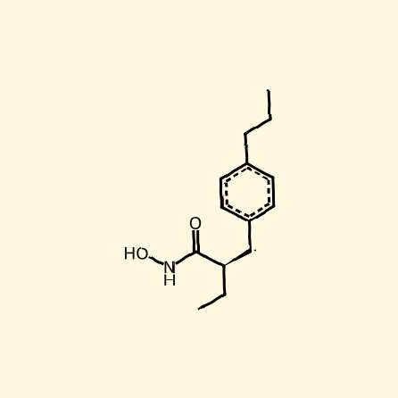 CCCc1ccc([CH][C@@H](CC)C(=O)NO)cc1